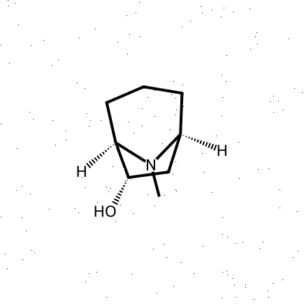 CN1[C@H]2CCC[C@@H]1[C@@H](O)C2